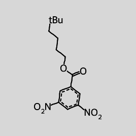 CC(C)(C)CCCCOC(=O)c1cc([N+](=O)[O-])cc([N+](=O)[O-])c1